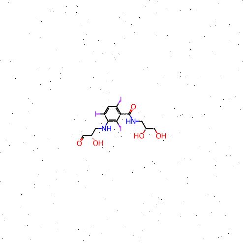 O=C[C@@H](O)CNc1c(I)cc(I)c(C(=O)NCC(O)CO)c1I